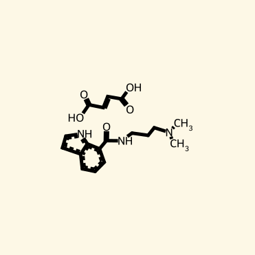 CN(C)CCCNC(=O)c1cccc2cc[nH]c12.O=C(O)C=CC(=O)O